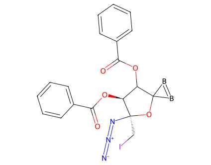 [N-]=[N+]=N[C@]1(CI)OC2(B=B2)C(OC(=O)c2ccccc2)[C@@H]1OC(=O)c1ccccc1